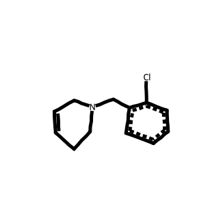 Clc1ccccc1CN1CC=CCC1